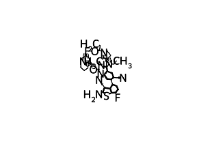 C=CC(=O)N1CC[C@@H](N(CC)c2nc(OC[C@@]34CCCN3C[C@H](F)C4)nc3cc(-c4ccc(F)c5sc(N)c(C#N)c45)c(C#N)cc23)[C@@H]1C